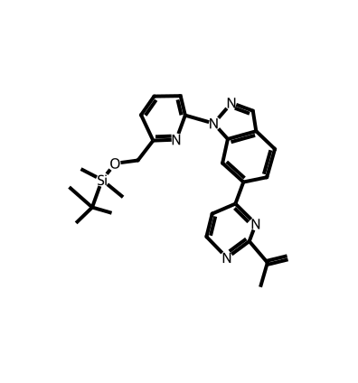 C=C(C)c1nccc(-c2ccc3cnn(-c4cccc(CO[Si](C)(C)C(C)(C)C)n4)c3c2)n1